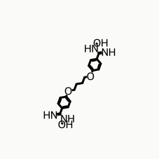 N=C(NO)c1ccc(OCCCCOc2ccc(C(=N)NO)cc2)cc1